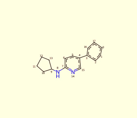 c1ccc(-c2ccc(NC3CCCC3)nc2)cc1